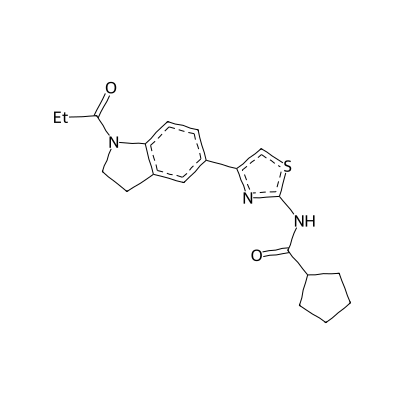 CCC(=O)N1CCc2cc(-c3csc(NC(=O)C4CCCC4)n3)ccc21